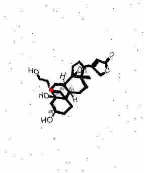 CC12CC[C@H]3[C@@H](CCC4(O)C[C@H](O)CCC34/C=N/CCO)C1(O)CCC2C1=CC(=O)OC1